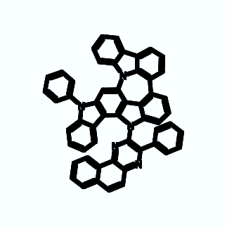 c1ccc(-c2nc3ccc4ccccc4c3nc2-n2c3cccc4c5cccc6c7ccccc7n(c7cc8c(c9ccccc9n8-c8ccccc8)c2c7c43)c56)cc1